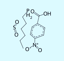 CCCCCCP.O=C(O)c1ccc([N+](=O)[O-])cc1.O=S=O